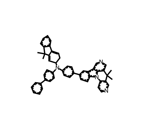 CC1(C)C2=CC(N(c3ccc(-c4ccccc4)cc3)c3ccc(-c4ccc5c(c4)c4cncc6c4n5-c4ccncc4C6(C)C)cc3)CC=C2c2ccccc21